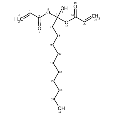 C=CC(=O)OC(O)(CCCCCCCCCO)OC(=O)C=C